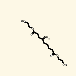 NC(CCCCC(=O)OCCO)CCC(=O)OCCO